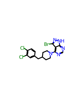 Clc1ccc(CC2CCN(c3ncnc4[nH]nc(Br)c34)CC2)cc1Cl